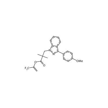 C=C(OC(=O)C(C)(C)Cn1nc(-c2ccc(OC)cc2)c2ccccc21)C(F)(F)F